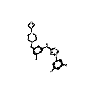 Cc1cc(CN2CCN(C3COC3)CC2)cc(Nc2ncn(-c3cc(F)cc(F)c3)n2)c1